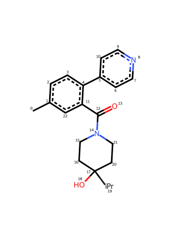 Cc1ccc(-c2ccncc2)c(C(=O)N2CCC(O)(C(C)C)CC2)c1